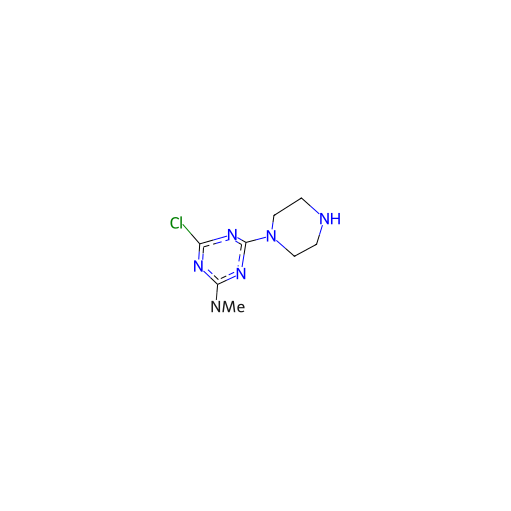 CNc1nc(Cl)nc(N2CCNCC2)n1